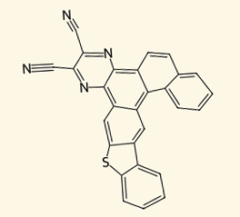 N#Cc1nc2c3cc4sc5ccccc5c4cc3c3c4ccccc4ccc3c2nc1C#N